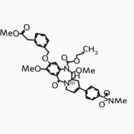 C=CCOC(=O)N1c2cc(OCc3cccc(CC(=O)OC)c3)c(OC)cc2C(=O)N2CC=C(c3ccc(S(=O)(=O)NC)cc3)C[C@H]2C1OC